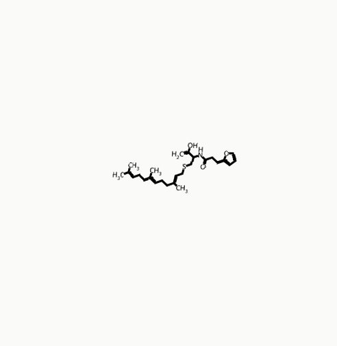 C=C(O)C(CSC/C=C(\C)CC/C=C(\C)CCC=C(C)C)NC(=O)CCc1ccco1